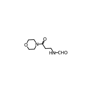 O=CNCCC(=O)N1CCOCC1